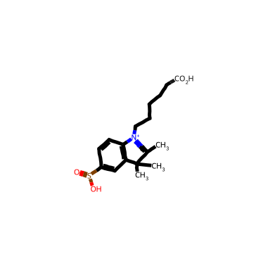 CC1=[N+](CCCCCC(=O)O)c2ccc(S(=O)O)cc2C1(C)C